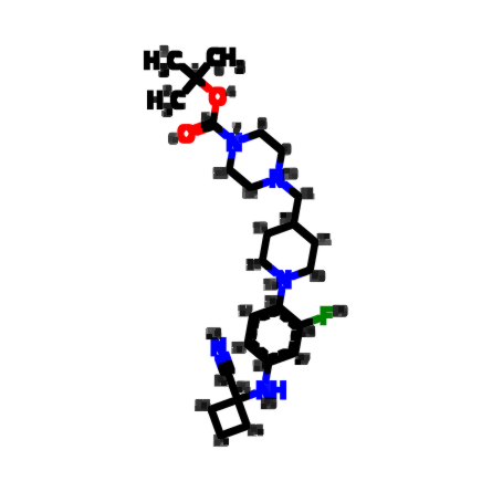 CC(C)(C)OC(=O)N1CCN(CC2CCN(c3ccc(NC4(C#N)CCC4)cc3F)CC2)CC1